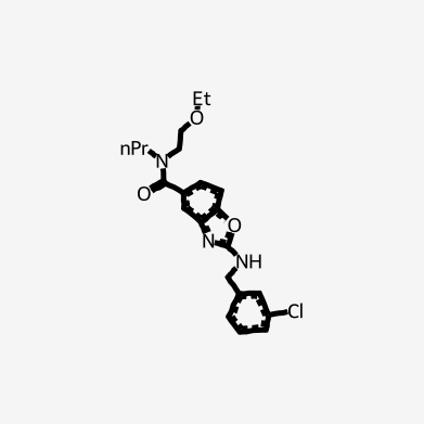 CCCN(CCOCC)C(=O)c1ccc2oc(NCc3cccc(Cl)c3)nc2c1